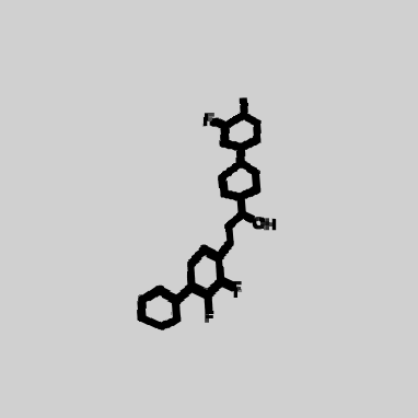 CC1CCC(C2CCC(C(O)CCC3CCC(C4CCCCC4)C(F)C3F)CC2)CC1F